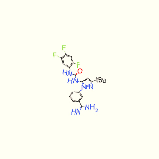 CC(C)(C)c1cc(NC(=O)Nc2cc(F)c(F)cc2F)n(-c2cccc(C(=N)N)c2)n1